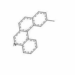 Cc1ccc2ccc3cnc4ccccc4c3c2c1